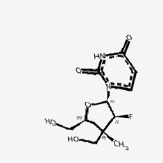 C[C@]1(CO)[C@H](F)[C@H](n2ccc(=O)[nH]c2=O)O[C@@H]1CO